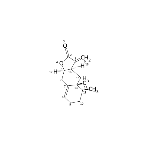 C=C1C(=O)O[C@@H]2CC3=CCC[C@H](C)[C@@]3(C)C[C@H]12